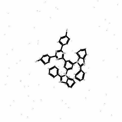 Fc1ccc(-c2nc(-c3ccc(F)cc3)nc(-c3cc(-n4c(-c5ccccc5)nc5ccccc54)cc(-n4c(-c5ccccc5)nc5ccccc54)c3)n2)cc1